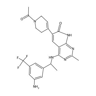 CC(=O)N1CC=C(c2cc3c(NC(C)c4cc(N)cc(C(F)(F)F)c4)nc(C)nc3[nH]c2=O)CC1